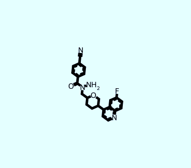 N#Cc1ccc(C(=O)N(N)CC2CCC(c3ccnc4ccc(F)cc34)CO2)cc1